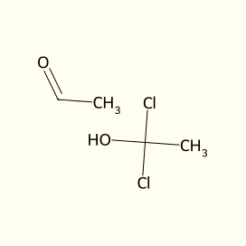 CC(O)(Cl)Cl.CC=O